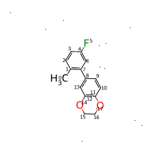 Cc1ccc(F)cc1-c1ccc2c(c1)OCCO2